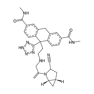 C=C(CNCCC1(c2nn[nH]n2)c2ccc(C(=O)NC)cc2Cc2cc(C(=O)NC)ccc21)N1C(C#N)C[C@@H]2C[C@@H]21